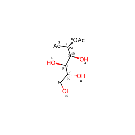 CC(=O)O[C@H](C(C)=O)[C@@H](O)[C@H](O)[C@H](O)CO